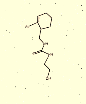 CCC1=CCCCC1CNC(=S)NCCO